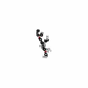 CC(C)c1ccccc1C1CN(Cc2ccccc2)CCN1C1CC2(CCN(c3ccc(C(=O)NS(=O)(=O)c4ccc(NCC5CCC(C)(O)CC5)c([N+](=O)[O-])c4)c(Oc4cnc5[nH]ccc5c4)c3)CC2)C1